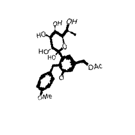 COc1ccc(Cc2c(Cl)cc(COC(C)=O)cc2[C@@]2(O)O[C@H]([C@H](C)O)[C@@H](O)[C@H](O)[C@H]2O)cc1